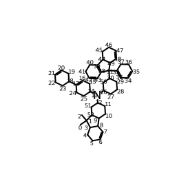 CC1(C)C2CCC=CC2C2CCC(N(C3CC=C(C4CC=CCC4)CC3)C3CCCC(C4(C5=CC=CCC5)C5=C(CCC=C5)C5CCC=CC54)C3)CC21